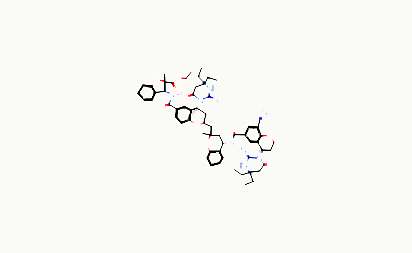 CCOC(=O)C1(C)Oc2ccccc2C1NC(=O)c1ccc2c(c1)[C@H](N1C(=N)NC(CC)(CC)CC1=O)CC(CC1(C)C[C@H](NC(=O)c3cc(C#N)c4c(c3)[C@H](N3C(=N)NC(CC)(CC)CC3=O)CCO4)c3ccccc3O1)O2